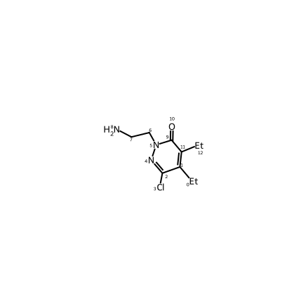 CCc1c(Cl)nn(CCN)c(=O)c1CC